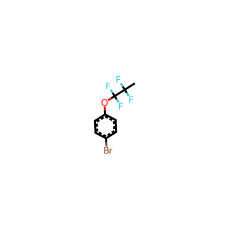 CC(F)(F)C(F)(F)Oc1ccc(Br)cc1